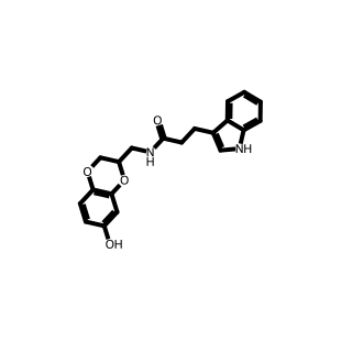 O=C(CCc1c[nH]c2ccccc12)NCC1COc2ccc(O)cc2O1